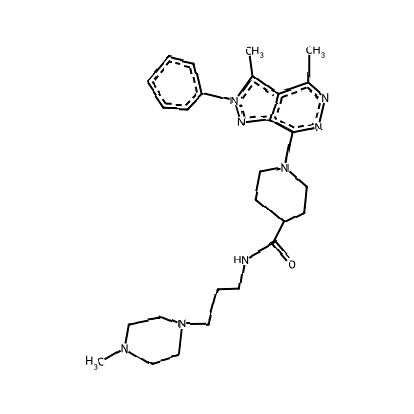 Cc1nnc(N2CCC(C(=O)NCCCN3CCN(C)CC3)CC2)c2nn(-c3ccccc3)c(C)c12